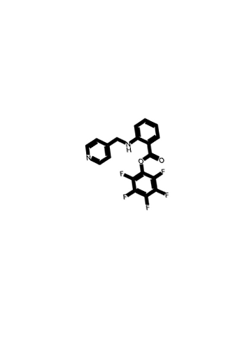 O=C(Oc1c(F)c(F)c(F)c(F)c1F)c1ccccc1NCc1ccncc1